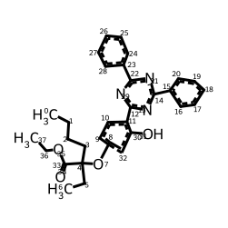 CCCCC(CC)(Oc1ccc(-c2nc(-c3ccccc3)nc(-c3ccccc3)n2)c(O)c1)C(=O)OCC